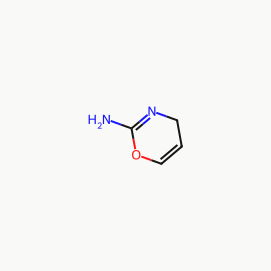 NC1=NCC=CO1